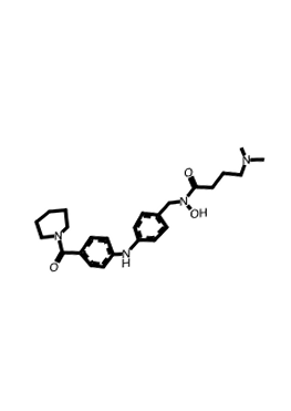 CN(C)CCCC(=O)N(O)Cc1ccc(Nc2ccc(C(=O)N3CCCCC3)cc2)cc1